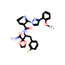 NC(=O)C1(C(Cc2cccc(F)c2)NC(=O)c2cccnc2-n2ccc(-c3ccccc3OC(F)(F)F)n2)OCCO1